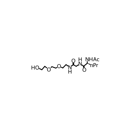 CCC[C@H](NC(C)=O)C(=O)NCC(=O)NCCOCCOCCO